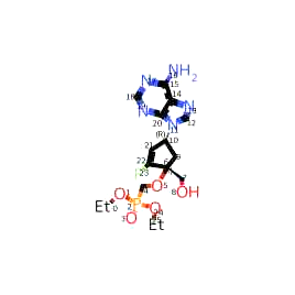 CCOP(=O)(CO[C@@]1(CO)C[C@@H](n2cnc3c(N)ncnc32)C=C1F)OCC